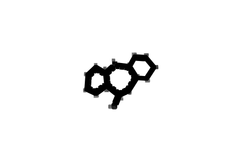 O=c1cc2c(nc3ccccc13)C=CCC2